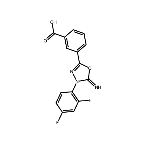 N=c1oc(-c2cccc(C(=O)O)c2)nn1-c1ccc(F)cc1F